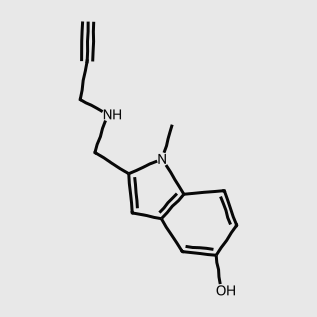 C#CCNCc1cc2cc(O)ccc2n1C